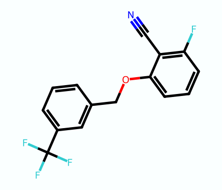 N#Cc1c(F)cccc1OCc1cccc(C(F)(F)F)c1